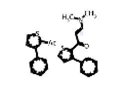 CC(=O)c1sccc1-c1ccccc1.CN(C)/C=C/C(=O)c1sccc1-c1ccccc1